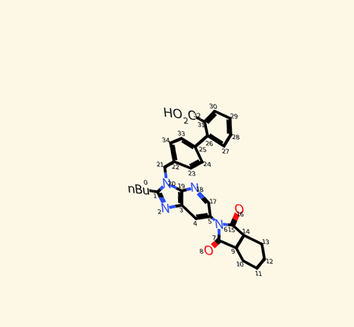 CCCCc1nc2cc(N3C(=O)C4CCCCC4C3=O)cnc2n1Cc1ccc(-c2ccccc2C(=O)O)cc1